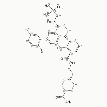 CC(=O)N1CCN(CCNC(=O)c2cnccc2Nc2cc(-c3cc(Cl)ccc3F)nc3c2OCCN3C(=O)OC(C)(C)C)CC1